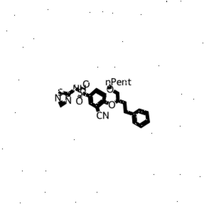 CCCCCOCC(CCc1ccccc1)Oc1ccc(S(=O)(=O)Nc2ncns2)cc1C#N